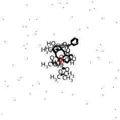 CC(=O)O[C@H]1C(=O)[C@]2(C)[C@@H](OC(=O)OC(C)(C)C)C[C@H]3OC[C@@]3(OC(C)=O)[C@H]2[C@H](OC(=O)c2ccccc2)[C@]2(O)C[C@H](O)C(C)=C1C2(C)C